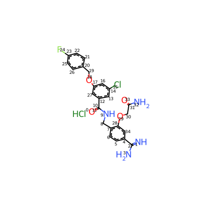 Cl.N=C(N)c1ccc(CNC(=O)c2cc(Cl)cc(OCc3ccc(F)cc3)c2)c(OCC(N)=O)c1